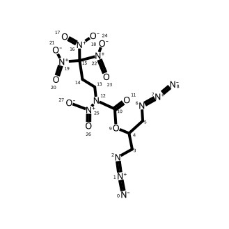 [N-]=[N+]=NCC(CN=[N+]=[N-])OC(=O)N(CCC([N+](=O)[O-])([N+](=O)[O-])[N+](=O)[O-])[N+](=O)[O-]